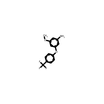 COc1cc(N)cc(Oc2ccc(C(F)(F)F)cc2)c1